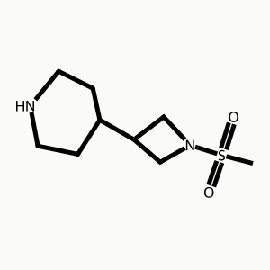 CS(=O)(=O)N1CC(C2CCNCC2)C1